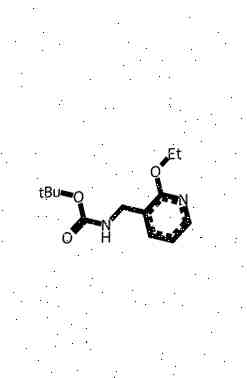 CCOc1ncccc1CNC(=O)OC(C)(C)C